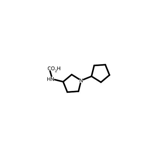 O=C(O)NC1CCN(C2CCCC2)C1